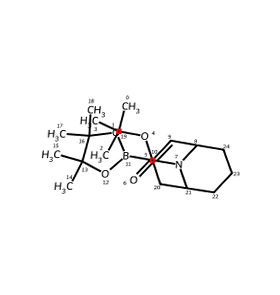 CC(C)(C)OC(=O)N1C2C=C(B3OC(C)(C)C(C)(C)O3)CC1CCC2